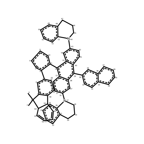 CC1(C)c2cc(-c3ccccc3-c3c4ccc(N5CCCc6ccccc65)cc4c(-c4ccc5ccccc5c4)c4ccc(N5CCCc6ccccc65)cc34)ccc2C2C=CC=CC21